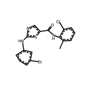 CCc1cccc(Nc2ncc(C(=O)Nc3c(C)cccc3Cl)s2)c1